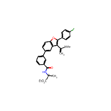 C=C(NC)c1c(-c2ccc(F)cc2)oc2ccc(-c3cccc(C(=O)N[C@@H](C)C(=O)OCC)c3)cc12